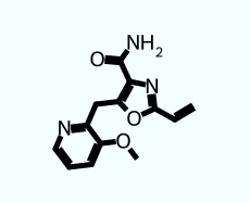 C=Cc1nc(C(N)=O)c(Cc2ncccc2OC)o1